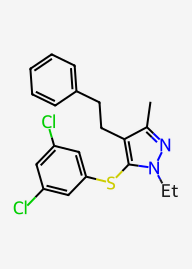 CCn1nc(C)c(CCc2ccccc2)c1Sc1cc(Cl)cc(Cl)c1